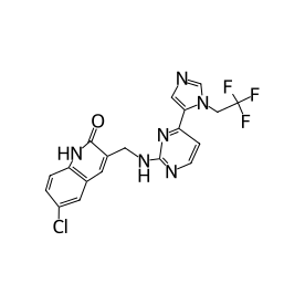 O=c1[nH]c2ccc(Cl)cc2cc1CNc1nccc(-c2cncn2CC(F)(F)F)n1